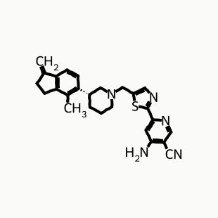 C=C1CCc2c1ccc([C@H]1CCCN(Cc3cnc(-c4cc(N)c(C#N)cn4)s3)C1)c2C